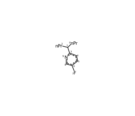 CCCC(CCC)c1ccc(F)cn1